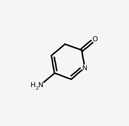 NC1=CCC(=O)N=C1